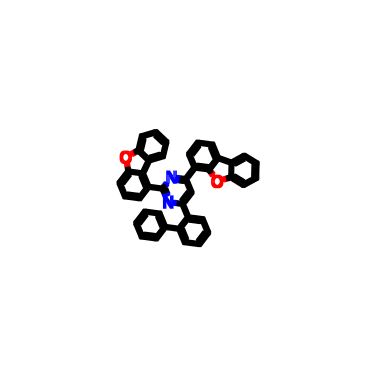 c1ccc(-c2ccccc2-c2cc(-c3cccc4c3oc3ccccc34)nc(-c3cccc4oc5ccccc5c34)n2)cc1